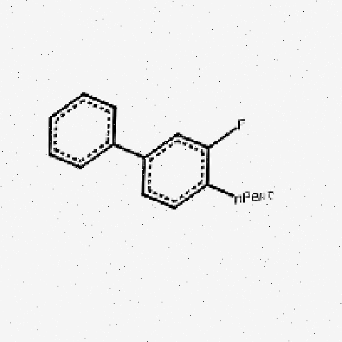 CCCCCc1ccc(-c2ccccc2)cc1F